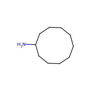 NC1CCCCCCCCC1